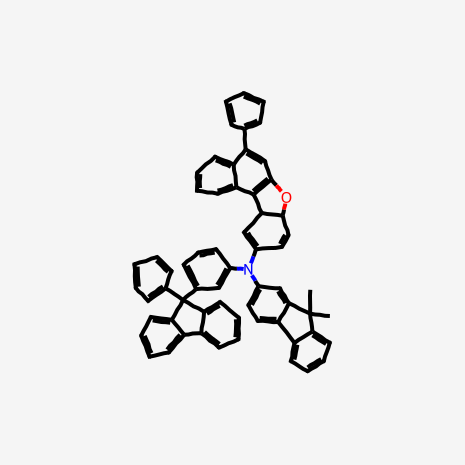 CC1(C)c2ccccc2-c2ccc(N(C3=CC4c5c(cc(-c6ccccc6)c6ccccc56)OC4C=C3)c3cccc(C4(c5ccccc5)c5ccccc5-c5ccccc54)c3)cc21